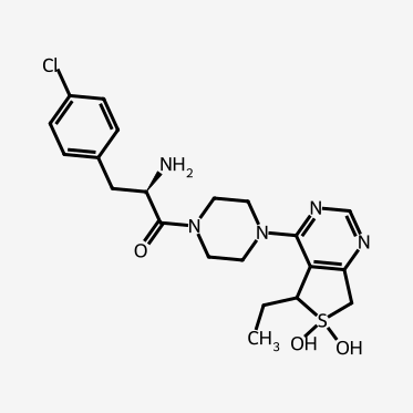 CCC1c2c(ncnc2N2CCN(C(=O)[C@H](N)Cc3ccc(Cl)cc3)CC2)CS1(O)O